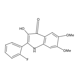 COc1cc2[nH]c(-c3ccccc3F)c(O)c(=O)c2cc1OC